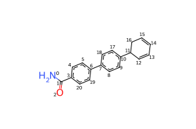 NC(=O)c1ccc(-c2ccc(C3C=CC=CC3)cc2)cc1